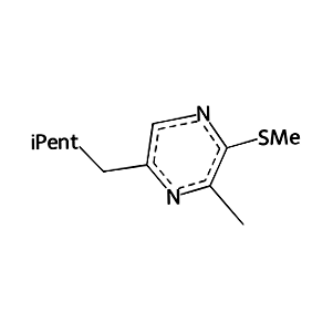 CCCC(C)Cc1cnc(SC)c(C)n1